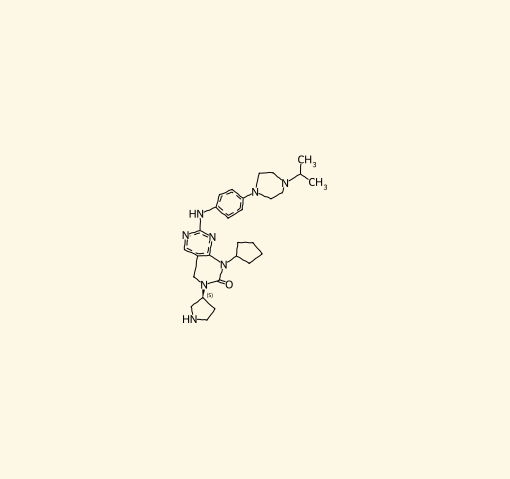 CC(C)N1CCN(c2ccc(Nc3ncc4c(n3)N(C3CCCC3)C(=O)N([C@H]3CCNC3)C4)cc2)CC1